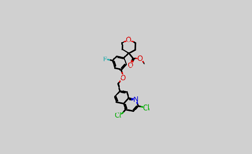 COC(=O)C1(c2cc(F)cc(OCc3ccc4c(Cl)cc(Cl)nc4c3)c2)CCOCC1